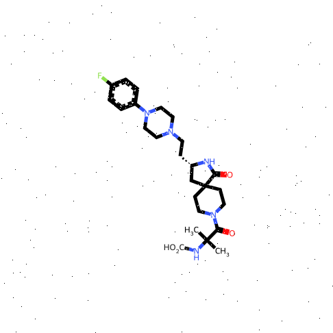 CC(C)(NC(=O)O)C(=O)N1CCC2(CC1)C[C@H](CCN1CCN(c3ccc(F)cc3)CC1)NC2=O